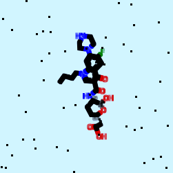 CCCCn1cc(C(=O)N[C@H]2CC[C@@H](CC(=O)O)OB2O)c(=O)c2cc(F)c(N3CCNCC3)cc21